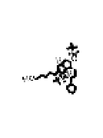 CC(C)(C)[Si](C)(C)O[C@H](/C=C\[C@H]1[C@H]2CC(CCCCCO)=C[C@H]2C[C@H]1O[Si](C)(C)C(C)(C)C)C1CCCC1